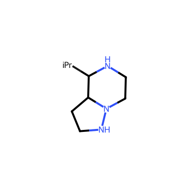 CC(C)C1NCCN2NCCC12